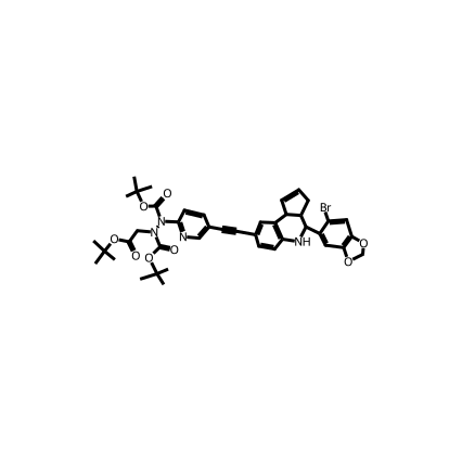 CC(C)(C)OC(=O)CN(C(=O)OC(C)(C)C)N(C(=O)OC(C)(C)C)c1ccc(C#Cc2ccc3c(c2)C2C=CCC2C(c2cc4c(cc2Br)OCO4)N3)cn1